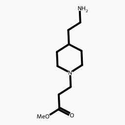 COC(=O)CCN1CCC(CCN)CC1